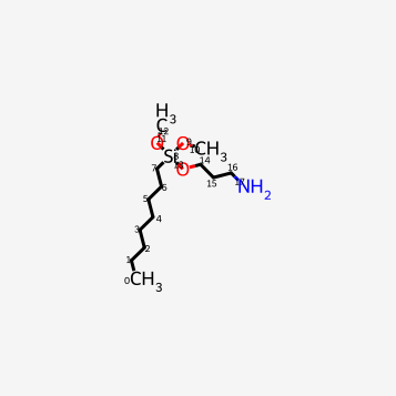 CCCCCCCC[Si](OC)(OC)OCCCN